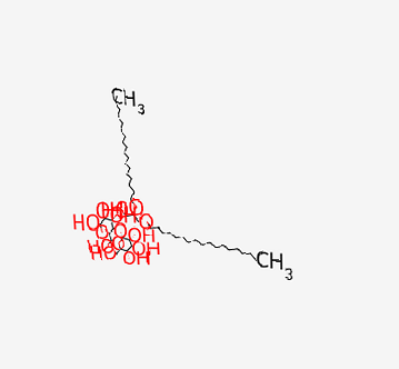 CCCCCCCCCCCCCCCCCCOCC(CO)OCCCCCCCCCCCCCCCCCC.OC[C@H]1O[C@H](O[C@H]2[C@H](O)[C@@H](O)[C@H](O)O[C@@H]2CO)[C@H](O)[C@@H](O)[C@@H]1O